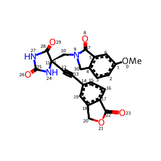 COc1ccc2c(c1)C(=O)N(C[C@@]1(C#Cc3ccc4c(c3)COC4=O)NC(=O)NC1=O)C2